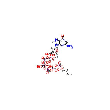 CCCCOP(=O)(O)OP(=O)(O)OP(=O)(O)OP(=O)(O)OP(=O)(O)OP(=O)(O)OC[C@H]1O[C@@H](n2cnc3c(=O)[nH]c(N)nc32)CC1O